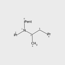 CCCC(C)N(C(C)C)C(C)CC(C)C